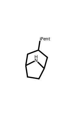 CCCC(C)C1CC2CCC(C1)N2